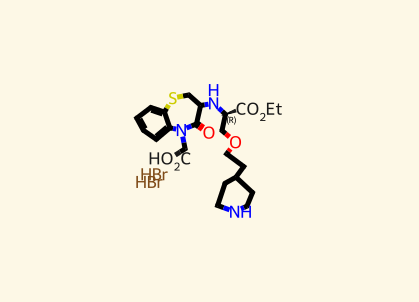 Br.Br.CCOC(=O)[C@@H](COCCC1CCNCC1)NC1CSc2ccccc2N(CC(=O)O)C1=O